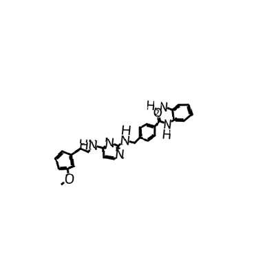 COc1cccc(CCNc2ccnc(NCc3ccc(C(=O)Nc4ccccc4N)cc3)n2)c1